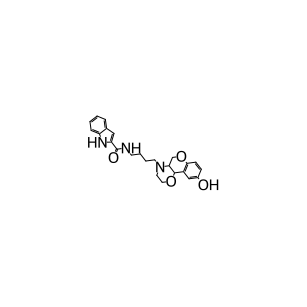 O=C(NCCCCN1CCOC2c3cc(O)ccc3OCC21)c1cc2ccccc2[nH]1